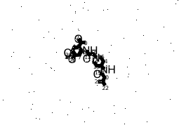 CC(=O)c1cc2c(cc1NC(=O)CN1CCC(NC(=O)CC(C)C)CC1)OCO2